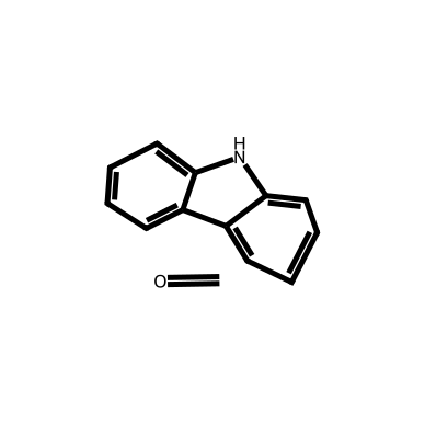 C=O.c1ccc2c(c1)[nH]c1ccccc12